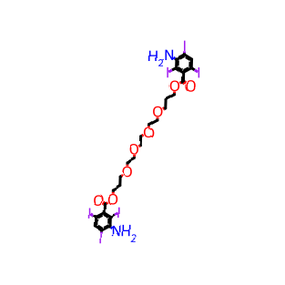 Nc1c(I)cc(I)c(C(=O)OCCCOCCOCCOCCOCCCOC(=O)c2c(I)cc(I)c(N)c2I)c1I